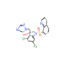 O=S(=O)(NCC(O)(Cn1cncn1)c1ccc(Cl)cc1Cl)c1cccc2cccnc12